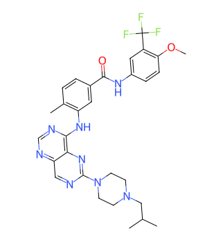 COc1ccc(NC(=O)c2ccc(C)c(Nc3ncnc4cnc(N5CCN(CC(C)C)CC5)nc34)c2)cc1C(F)(F)F